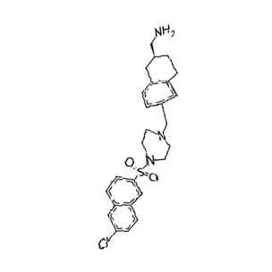 NC[C@H]1CCc2cc(CN3CCN(S(=O)(=O)c4ccc5cc(Cl)ccc5c4)CC3)ccc2C1